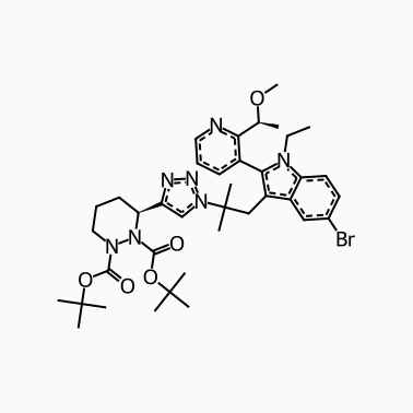 CCn1c(-c2cccnc2[C@H](C)OC)c(CC(C)(C)n2cc([C@@H]3CCCN(C(=O)OC(C)(C)C)N3C(=O)OC(C)(C)C)nn2)c2cc(Br)ccc21